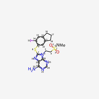 CNS(=O)(=O)CCn1c(Sc2cc3c(cc2I)CCC3)nc2c(N)ncnc21